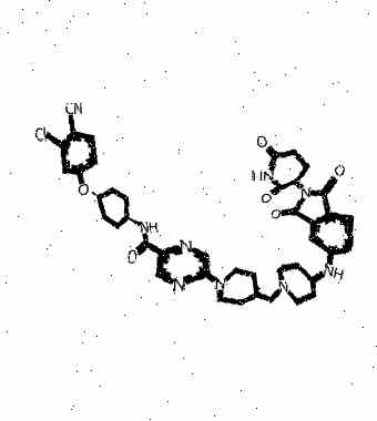 N#Cc1ccc(O[C@H]2CC[C@H](NC(=O)c3cnc(N4CCC(CN5CCC(Nc6ccc7c(c6)C(=O)N(C6CCC(=O)NC6=O)C7=O)CC5)CC4)cn3)CC2)cc1Cl